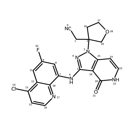 N#CCC1(n2nc(Nc3cc(F)cc4c(Cl)ccnc34)c3c(=O)[nH]ccc32)CCOC1